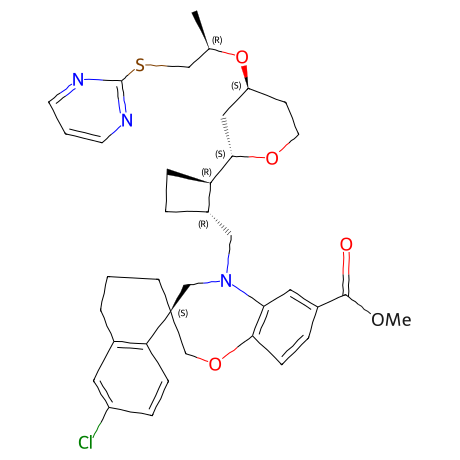 COC(=O)c1ccc2c(c1)N(C[C@@H]1CC[C@H]1[C@@H]1C[C@@H](O[C@H](C)CSc3ncccn3)CCO1)C[C@@]1(CCCc3cc(Cl)ccc31)CO2